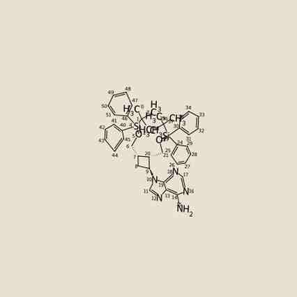 CC(C)(C)[Si](OC[C@H]1C[C@H](n2cnc3c(N)ncnc32)[C@H]1CO[Si](c1ccccc1)(c1ccccc1)C(C)(C)C)(c1ccccc1)c1ccccc1